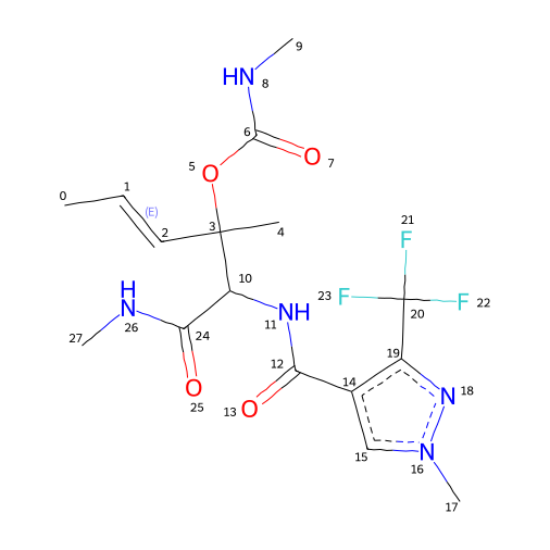 C/C=C/C(C)(OC(=O)NC)C(NC(=O)c1cn(C)nc1C(F)(F)F)C(=O)NC